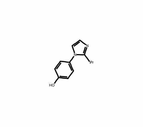 CC(C)c1nccn1-c1ccc(O)cc1